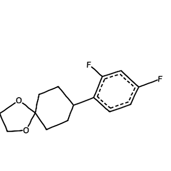 Fc1ccc(C2CCC3(CC2)OCCO3)c(F)c1